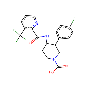 O=C(NC1CCN(C(=O)O)CC1c1ccc(F)cc1)c1ncccc1C(F)(F)F